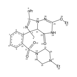 CCCC1=NC(C)(c2ccccc2S(=O)(=O)N2CCN(CC)CC2)C2C(=O)NC(OCC)=NN12